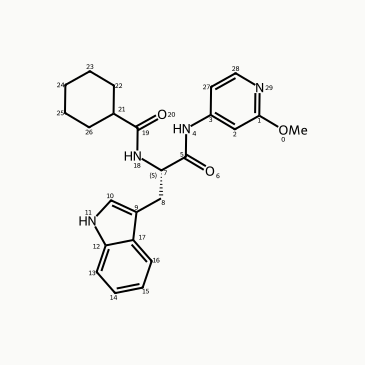 COc1cc(NC(=O)[C@H](Cc2c[nH]c3ccccc23)NC(=O)C2CCCCC2)ccn1